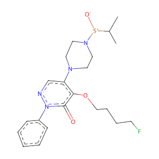 CC(C)[S+]([O-])N1CCN(c2cnn(-c3ccccc3)c(=O)c2OCCCCF)CC1